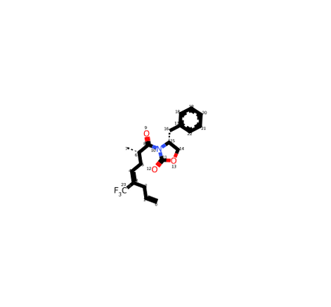 C=CC/C(=C\C[C@H](C)C(=O)N1C(=O)OC[C@H]1Cc1ccccc1)C(F)(F)F